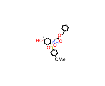 COc1ccc(S(=O)(=O)[C@]2(NCC(=O)OCc3ccccc3)CC[C@@](C)(O)CC2)cc1